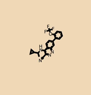 CC(Nc1c(C#N)nnc2cc(-c3ccccc3OC(F)(F)F)ccc12)C1CC1